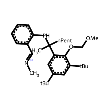 CCCCCC(C)(Pc1ccccc1/C=N/C)c1cc(C(C)(C)C)cc(C(C)(C)C)c1OCOC